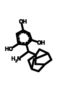 NC(c1c(O)cc(O)cc1O)C12CC3CC(CC(C3)C1)C2